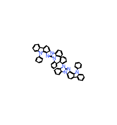 c1ccc(-n2c3ccccc3c3ccc4c(nc5n(-c6ccccc6-c6ccccc6-n6c7ccccc7n7c8ccc9c%10ccccc%10n(-c%10ccccc%10)c9c8nc67)c6ccccc6n45)c32)cc1